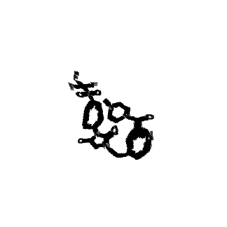 CN1CCN(C(=O)c2cc(CN3CC(=O)N(c4ccc(S(=O)(=O)C(F)(F)F)cc4)C3=O)ccn2)CC1